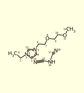 CC[n+]1ccn(CCOCCOC)c1.N#CNC#N